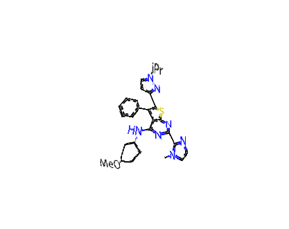 CO[C@H]1CC[C@@H](Nc2nc(-c3nccn3C)nc3sc(-c4ccn(C(C)C)n4)c(-c4ccccc4)c23)C1